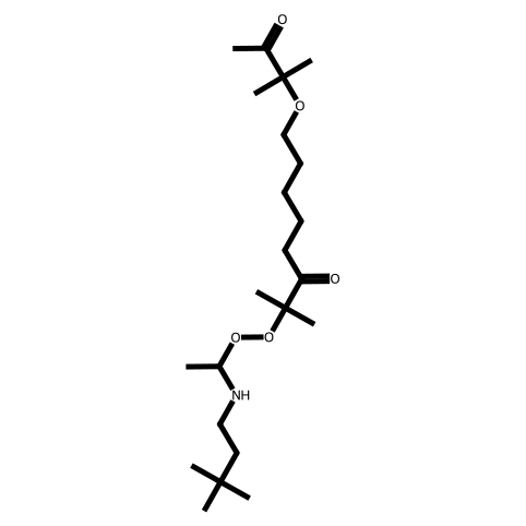 CC(=O)C(C)(C)OCCCCCC(=O)C(C)(C)OOC(C)NCCC(C)(C)C